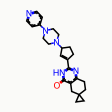 O=c1[nH]c(C2=CC(N3CCN(c4ccncc4)CC3)CC2)nc2c1CC1(CC2)CC1